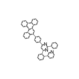 c1ccc(-c2nc(-c3ccc(-c4cc5c6ccccc6c6ccccc6c5c5ccccc45)cc3)cc(-c3ccccc3-c3cccnc3)n2)cc1